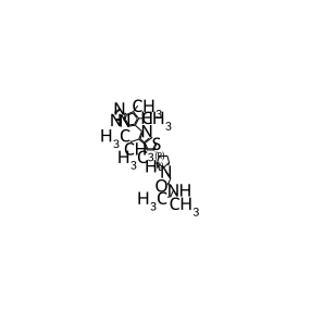 Cc1c(-c2[nH]c3sc([C@@H]4CC5C[C@H]4CN5CC(=O)NC(C)C)c(C)c3c2C(C)C)cn2ncnc2c1C